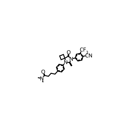 C=C1N(c2ccc(C#N)c(C(F)(F)F)c2)C(=O)C2(CCC2)N1c1ccc(CCCC(=O)N(C)C)cc1